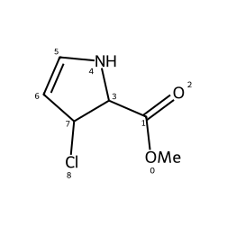 COC(=O)C1NC=CC1Cl